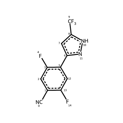 N#Cc1cc(F)c(-c2cc(C(F)(F)F)[nH]n2)cc1F